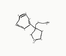 CC(C)(C)CC1(c2ccccc2)CCOC1